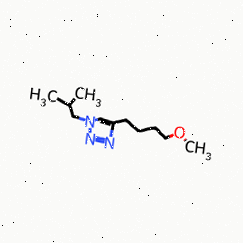 COCCCCc1cn(CC(C)C)nn1